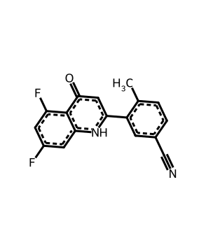 Cc1ccc(C#N)cc1-c1cc(=O)c2c(F)cc(F)cc2[nH]1